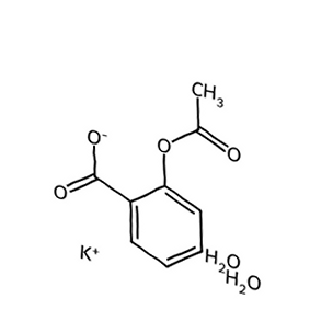 CC(=O)Oc1ccccc1C(=O)[O-].O.O.[K+]